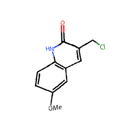 COc1ccc2[nH]c(=O)c(CCl)cc2c1